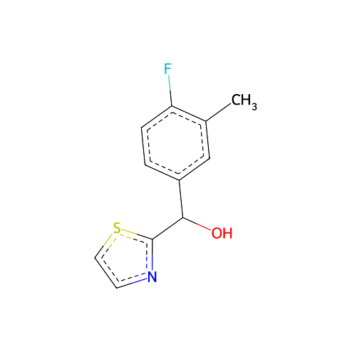 Cc1cc(C(O)c2nccs2)ccc1F